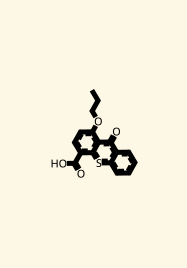 CCCOc1ccc(C(=O)O)c2sc3ccccc3c(=O)c12